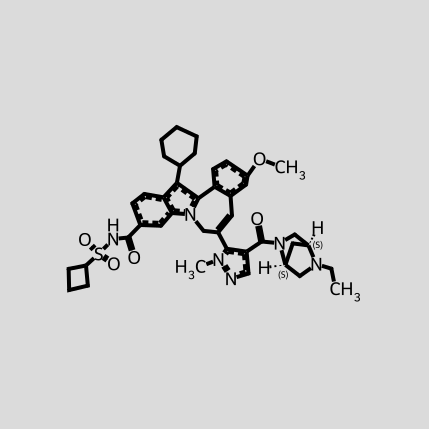 CCN1C[C@@H]2C[C@H]1CN2C(=O)c1cnn(C)c1C1=Cc2cc(OC)ccc2-c2c(C3CCCCC3)c3ccc(C(=O)NS(=O)(=O)C4CCC4)cc3n2C1